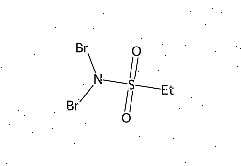 CCS(=O)(=O)N(Br)Br